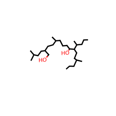 CCCC(C)CCC(C(C)CCC)C(O)CCCC(C)CCC(CO)CCC(C)C